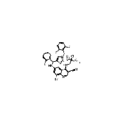 CC(C)(C)CNc1c(C#N)cnc2c(Br)cc(NC(c3cn(Cc4c(F)cccc4F)nn3)c3ccccc3Cl)cc12